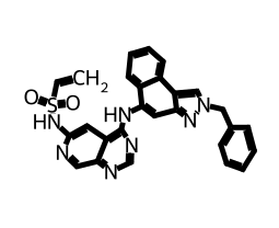 C=CS(=O)(=O)Nc1cc2c(Nc3cc4nn(Cc5ccccc5)cc4c4ccccc34)ncnc2cn1